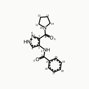 O=C(Nc1c[nH]nc1C(=O)N1CCCC1)c1ccccc1